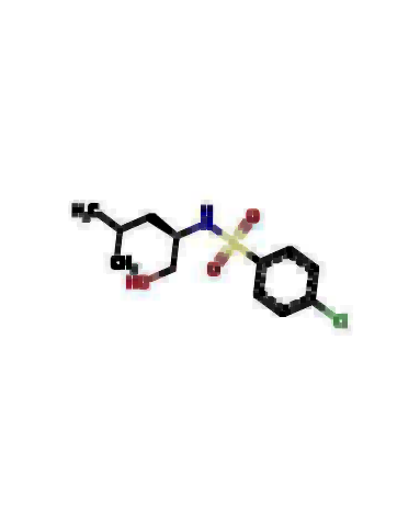 CC(C)C[C@H](CO)NS(=O)(=O)c1ccc(Cl)cc1